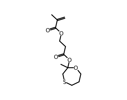 C=C(C)C(=O)OCCC(=O)OC1(C)CSCCCO1